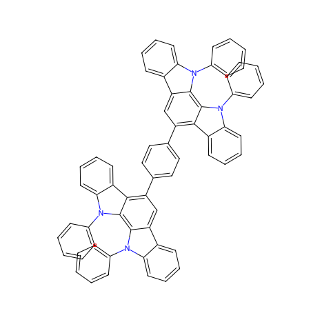 c1ccc(-n2c3ccccc3c3cc(-c4ccc(-c5cc6c7ccccc7n(-c7ccccc7)c6c6c5c5ccccc5n6-c5ccccc5)cc4)c4c5ccccc5n(-c5ccccc5)c4c32)cc1